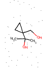 CC(C)(O)C1(CO)CC1